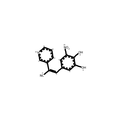 N#CC(=Cc1cc(O)c(O)c([N+](=O)[O-])c1)c1cccnc1